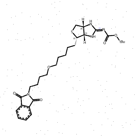 CC(C)(C)OC(=O)/N=C1\N[C@H]2[C@H](CS[C@H]2CCCCCOCCCCN2C(=O)c3ccccc3C2=O)N1